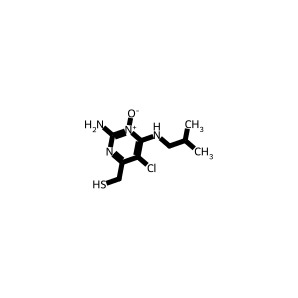 CC(C)CNc1c(Cl)c(CS)nc(N)[n+]1[O-]